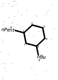 C[CH]CCCC1CCCC(CCCC)C1